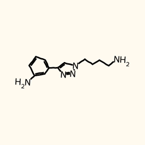 NCCCCn1cc(-c2cccc(N)c2)nn1